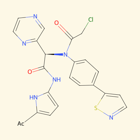 CC(=O)c1ccc(NC(=O)[C@@H](c2cnccn2)N(C(=O)CCl)c2ccc(-c3ccns3)cc2)[nH]1